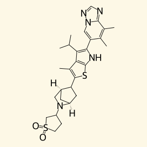 Cc1c(-c2[nH]c3sc(C4C[C@@H]5C[C@H]4CN5C4CCS(=O)(=O)C4)c(C)c3c2C(C)C)cn2ncnc2c1C